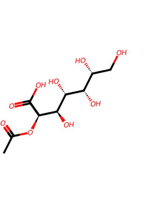 CC(=O)O[C@@H](C(=O)O)[C@H](O)[C@H](O)[C@@H](O)[C@H](O)CO